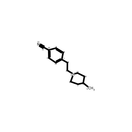 CC1CCN(CCc2ccc(C#N)cc2)CC1